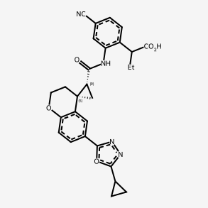 CCC(C(=O)O)c1ccc(C#N)cc1NC(=O)[C@@H]1C[C@]12CCOc1ccc(-c3nnc(C4CC4)o3)cc12